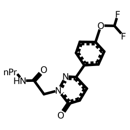 CCCNC(=O)Cn1nc(-c2ccc(OC(F)F)cc2)ccc1=O